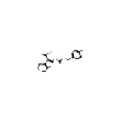 Cc1ccc(CNC(=O)Nc2sc3c(c2C(N)=O)CCOC3)cc1